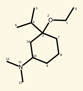 CCOC1(C(C)C)CCCC(N(C)C)C1